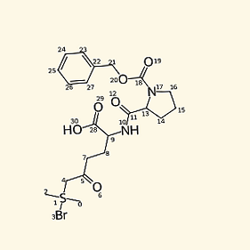 CS(C)(Br)CC(=O)CCC(NC(=O)C1CCCN1C(=O)OCc1ccccc1)C(=O)O